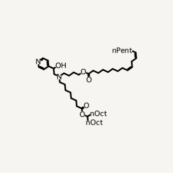 CCCCC/C=C\C/C=C\CCCCCCCC(=O)OCCCCN(CCCCCCCC(=O)OC(CCCCCCCC)CCCCCCCC)CC(O)c1ccncc1